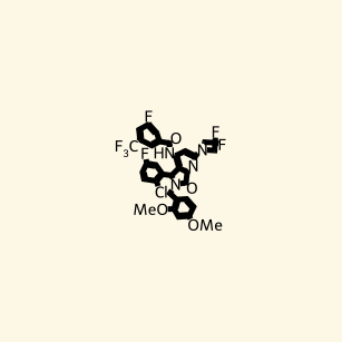 COc1ccc(CN2C(=O)c3nc(N4CC(F)(F)C4)cc(NC(=O)c4cc(F)cc(C(F)(F)F)c4)c3C2c2cc(F)ccc2Cl)c(OC)c1